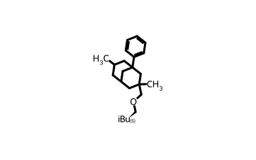 CC[C@H](C)COCC1(C)CC2CC(C)CC(c3ccccc3)(C2)C1